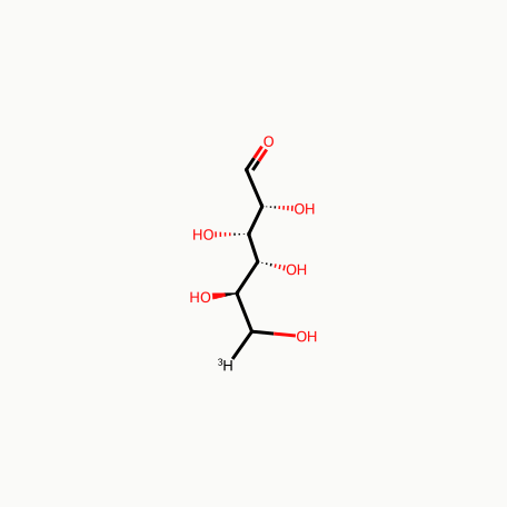 [3H]C(O)[C@@H](O)[C@@H](O)[C@H](O)[C@@H](O)C=O